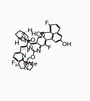 C#Cc1c(F)ccc2cc(O)cc(-c3ncc4c(N5C[C@H]6CC[C@@H](C5)N6C(=O)/C(F)=C/c5cccc(OC)n5)nc(OC[C@@]56CCCN5C[C@H](F)C6)nc4c3F)c12